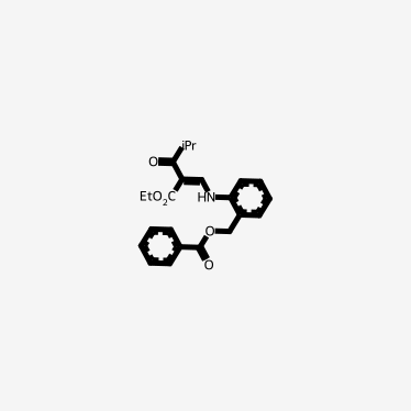 CCOC(=O)/C(=C\Nc1ccccc1COC(=O)c1ccccc1)C(=O)C(C)C